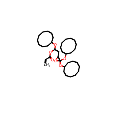 C=CC(=O)OC(CC1OC1(OC1CCCCCCCCC1)OC1CCCCCCCCC1)OC1CCCCCCCCC1